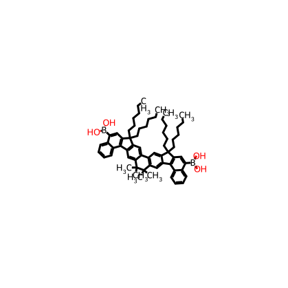 CCCCCCC1(CCCCCC)c2cc3c(cc2-c2c1cc(B(O)O)c1ccccc21)C(C)(C)C(C)(C)c1cc2c(cc1-3)C(CCCCCC)(CCCCCC)c1cc(B(O)O)c3ccccc3c1-2